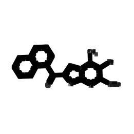 CCc1c(OC)nc2nc(C(=O)c3cccc4ccccc34)cn2c1C